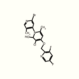 CC1=CC(OCc2ncc(F)cc2F)=C(Cl)C(O)N1c1cc(Br)ncc1C